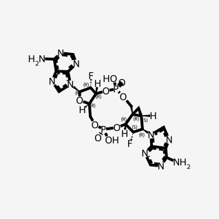 Nc1ncnc2c1ncn2[C@H]1[C@H](F)[C@@H]2OP(=O)(O)OC[C@H]3O[C@@H](n4cnc5c(N)ncnc54)[C@H](F)[C@@H]3OP(=O)(O)OC[C@]23C[C@H]13